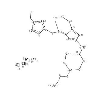 Cc1ncc(CC2=C3N=C(NC4CCN(CCN)CC4)N=C3CC=C2)o1.Cl.Cl.Cl.O